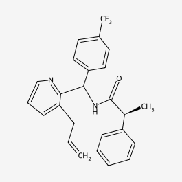 C=CCc1cccnc1C(NC(=O)[C@@H](C)c1ccccc1)c1ccc(C(F)(F)F)cc1